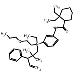 C=CC(c1ccccc1)C(C)(C)C[N+](CC)(CCOCCC)c1cccc(NC(=O)C2CCCCC2(CC)CC)c1